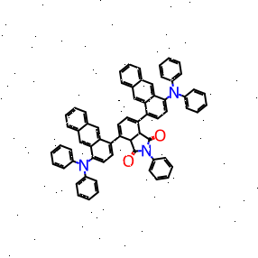 O=C1C2C(c3ccc(N(c4ccccc4)c4ccccc4)c4cc5ccccc5cc34)=CC=C(c3ccc(N(c4ccccc4)c4ccccc4)c4cc5ccccc5cc34)C2C(=O)N1c1ccccc1